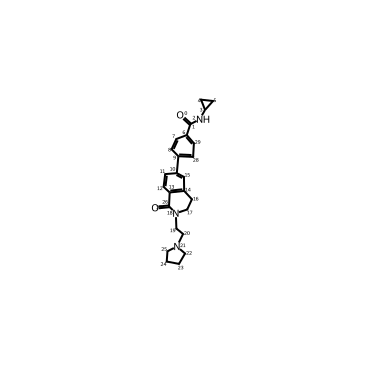 O=C(NC1CC1)c1ccc(-c2ccc3c(c2)CCN(CCN2CCCC2)C3=O)cc1